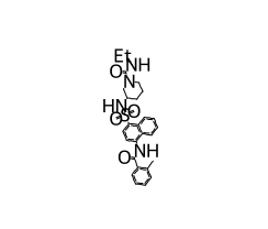 CCNC(=O)N1CCCC(NS(=O)(=O)c2ccc(NC(=O)c3ccccc3C)c3ccccc23)C1